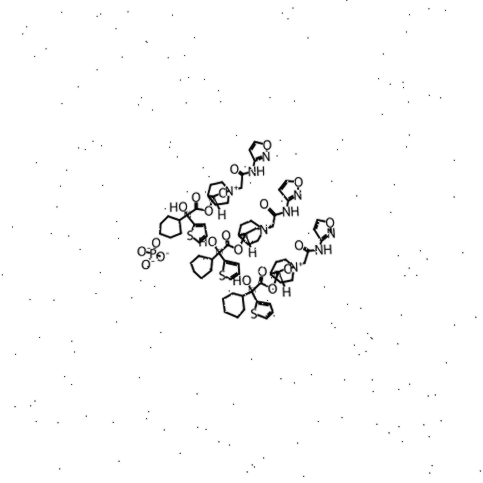 O=C(C[N+]12CCC(CC1)[C@@H](OC(=O)[C@](O)(c1cccs1)C1CCCCC1)C2)Nc1ccon1.O=C(C[N+]12CCC(CC1)[C@@H](OC(=O)[C@](O)(c1cccs1)C1CCCCC1)C2)Nc1ccon1.O=C(C[N+]12CCC(CC1)[C@@H](OC(=O)[C@](O)(c1cccs1)C1CCCCC1)C2)Nc1ccon1.O=P([O-])([O-])[O-]